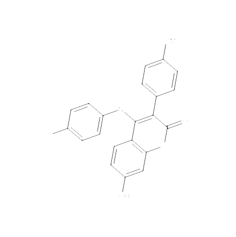 COc1ccc(-c2c(Nc3ccc(F)cc3)c3ccc(O)cc3oc2=O)cc1